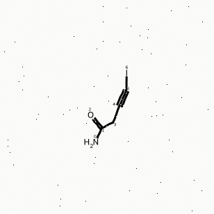 NC(=O)CC#CI